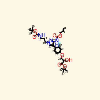 C=CCOC(=O)Nc1nn(CCCNC(=O)OC(C)(C)C)cc1-c1ccc(OC[C@@H](O)C(=O)OC(C)(C)C)cc1F